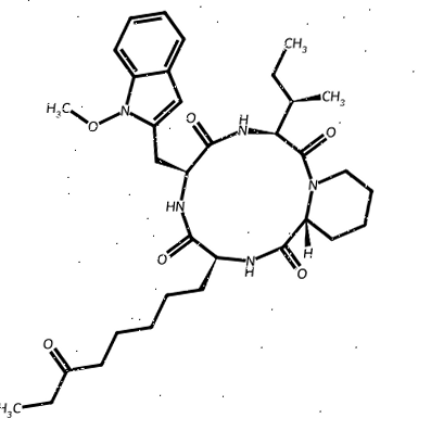 CCC(=O)CCCCC[C@@H]1NC(=O)[C@H]2CCCCN2C(=O)[C@H]([C@H](C)CC)NC(=O)[C@H](Cc2cc3ccccc3n2OC)NC1=O